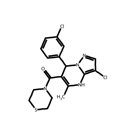 CC1=C(C(=O)N2CCSCC2)C(c2cccc(Cl)c2)n2ncc(Cl)c2N1